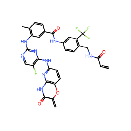 C=CC(=O)NCc1ccc(NC(=O)c2ccc(C)c(Nc3ncc(F)c(Nc4ccc5c(n4)NC(=O)C(=C)O5)n3)c2)cc1C(F)(F)F